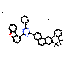 CC1(C)c2ccccc2-c2cc3c(ccc4cc(-c5nc(-c6ccccc6)nc(-c6cccc7oc8ccccc8c67)n5)ccc43)cc2C1(C)C